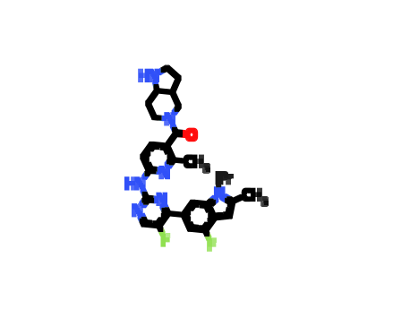 Cc1nc(Nc2ncc(F)c(-c3cc(F)c4cc(C)n(C(C)C)c4c3)n2)ccc1C(=O)N1CCC2NCCC2C1